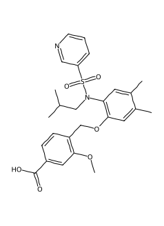 COc1cc(C(=O)O)ccc1COc1cc(C)c(C)cc1N(CC(C)C)S(=O)(=O)c1cccnc1